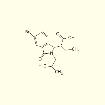 CCC(C(=O)O)C1c2ccc(Br)cc2C(=O)N1CC(C)C